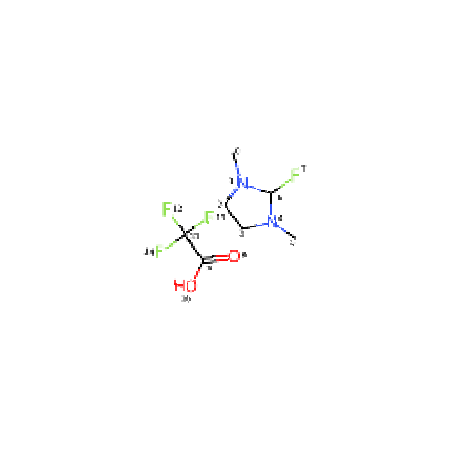 CN1CCN(C)C1F.O=C(O)C(F)(F)F